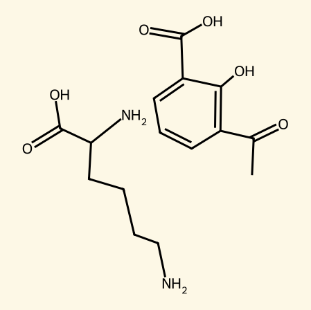 CC(=O)c1cccc(C(=O)O)c1O.NCCCCC(N)C(=O)O